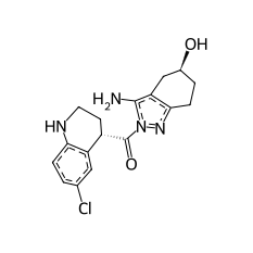 Nc1c2c(nn1C(=O)[C@H]1CCNc3ccc(Cl)cc31)CC[C@H](O)C2